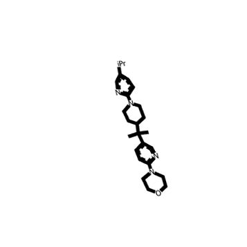 CC(C)c1ccc(N2CCC(C(C)(C)c3ccc(N4CCOCC4)nc3)CC2)nc1